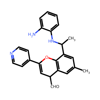 Cc1cc2c(c(C(C)Nc3ccccc3N)c1)OC(c1ccncc1)=CC2C=O